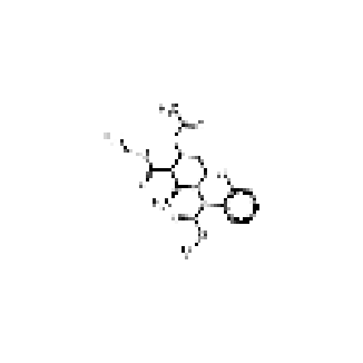 C=C1C(C(=O)OCC)C(SC(C)=O)CCN1C(C(=O)OC)c1ccccc1Cl